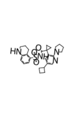 O=C(NS(=O)(=O)c1cccc2c1CCCN2)C1(c2cc(C3CCC3)cnc2N2CCCC2)CC1